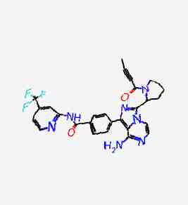 CC#CC(=O)N1CCCCC1c1nc(-c2ccc(C(=O)Nc3cc(C(F)(F)F)ccn3)cc2)c2c(N)nccn12